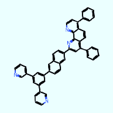 c1ccc(-c2ccnc3c2ccc2c(-c4ccccc4)cc(-c4ccc5cc(-c6cc(-c7cccnc7)cc(-c7cccnc7)c6)ccc5c4)nc23)cc1